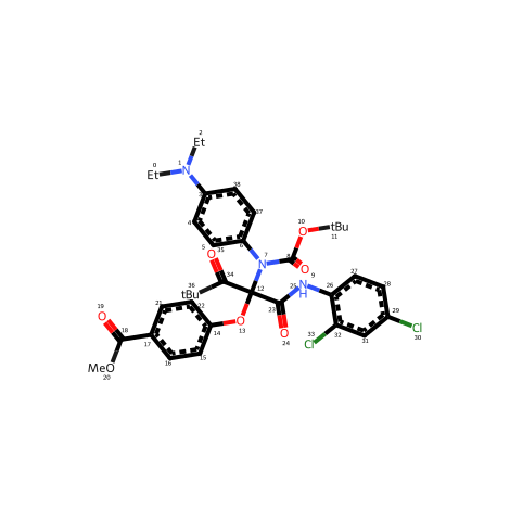 CCN(CC)c1ccc(N(C(=O)OC(C)(C)C)C(Oc2ccc(C(=O)OC)cc2)(C(=O)Nc2ccc(Cl)cc2Cl)C(=O)C(C)(C)C)cc1